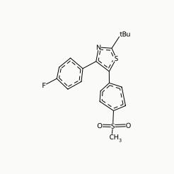 CC(C)(C)c1nc(-c2ccc(F)cc2)c(-c2ccc(S(C)(=O)=O)cc2)s1